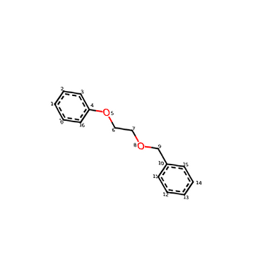 [c]1cccc(OCCOCc2ccccc2)c1